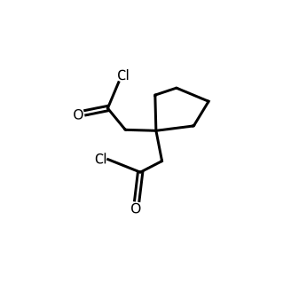 O=C(Cl)CC1(CC(=O)Cl)CCCC1